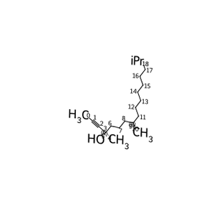 CC#C[C@](C)(O)CCC[C@H](C)CCCCCCCC(C)C